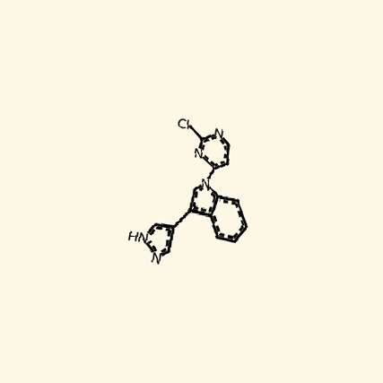 Clc1nccc(-n2cc(-c3cn[nH]c3)c3ccccc32)n1